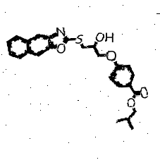 CC(C)COC(=O)c1ccc(OCC(O)CSc2nc3cc4ccccc4cc3o2)cc1